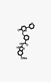 COc1ccc2[nH]c(NC(=O)c3cccc(Cn4nc(-c5cccnc5)ccc4=O)c3)nc2c1